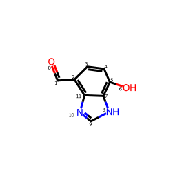 O=Cc1ccc(O)c2[nH]cnc12